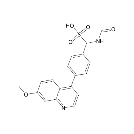 COc1ccc2c(-c3ccc(C(NC=O)S(=O)(=O)O)cc3)ccnc2c1